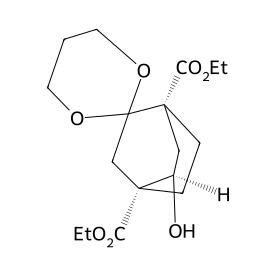 CCOC(=O)[C@@]12CC[C@@](C(=O)OCC)(C[C@H]1O)C1(C2)OCCCO1